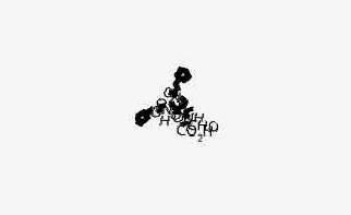 CC(C(=O)N[C@H](C=O)CC(=O)O)N1CCN(C(=O)CCc2ccccc2)CC(NC(=O)OCc2ccccc2)C1=O